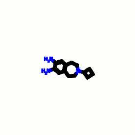 Nc1cc2c(cc1N)CCN(C1CCC1)CC2